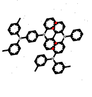 Cc1cccc(N(c2ccc(N(c3ccccc3)c3ccccc3-c3ccccc3N(c3ccccc3)c3ccc(N(c4cccc(C)c4)c4cccc(C)c4)cc3)cc2)c2cccc(C)c2)c1